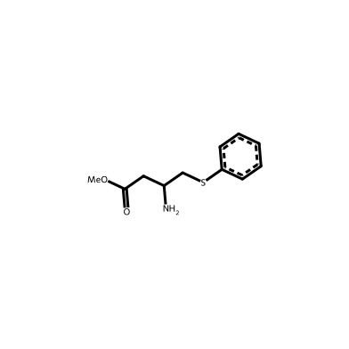 COC(=O)CC(N)CSc1ccccc1